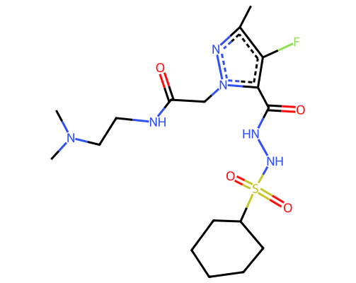 Cc1nn(CC(=O)NCCN(C)C)c(C(=O)NNS(=O)(=O)C2CCCCC2)c1F